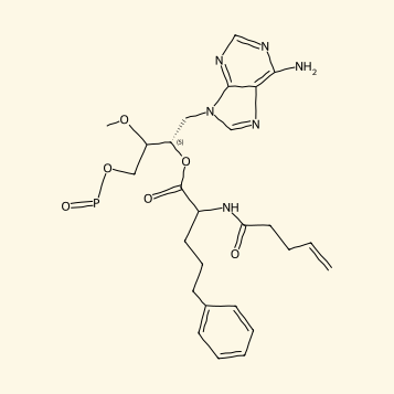 C=CCCC(=O)NC(CCCc1ccccc1)C(=O)O[C@@H](Cn1cnc2c(N)ncnc21)C(COP=O)OC